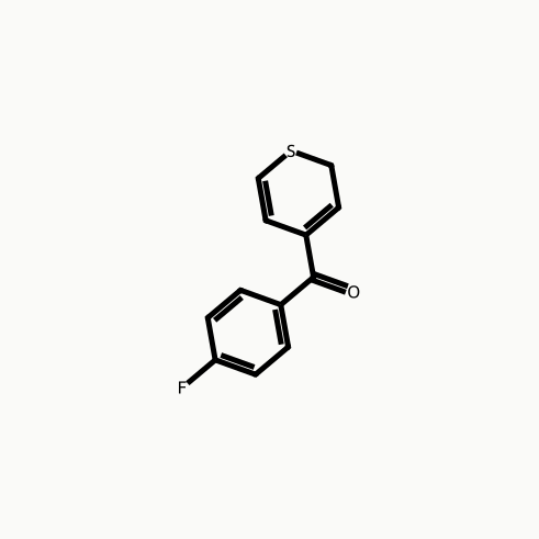 O=C(C1=CCSC=C1)c1ccc(F)cc1